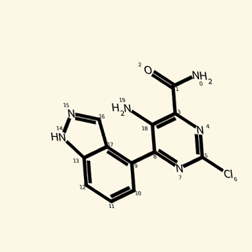 NC(=O)c1nc(Cl)nc(-c2cccc3[nH]ncc23)c1N